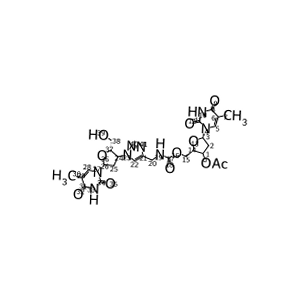 CC(=O)OC1C[C@H](n2cc(C)c(=O)[nH]c2=O)O[C@@H]1COC(=O)NCc1cn(C2C[C@H](n3cc(C)c(=O)[nH]c3=O)O[C@@H]2CO)nn1